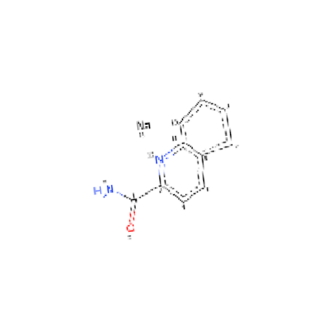 NC(=O)c1ccc2ccccc2n1.[Na]